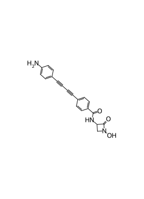 Nc1ccc(C#CC#Cc2ccc(C(=O)NC3CN(O)C3=O)cc2)cc1